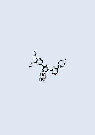 CCOc1ccc(-c2nc(-c3cccc(N4CCN(C)CC4)n3)cs2)cc1OCC.Cl.Cl.Cl